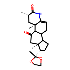 C[C@H]1C[C@@]2(C)C(=CCC3C2C(=O)C[C@@]2(C)C3CC[C@@H]2C2(C)OCCO2)NC1=O